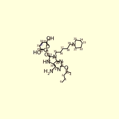 CCC[C@H](C)Oc1nc(N)c2[nH]c(=O)n(CCCCCN3CCCCC3)c2n1.O=C(O)/C=C\C(=O)O